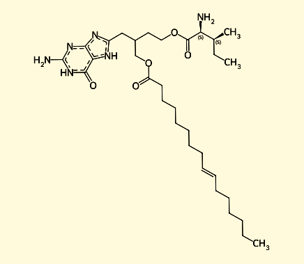 CCCCCCC=CCCCCCCCC(=O)OCC(CCOC(=O)[C@@H](N)[C@@H](C)CC)Cc1nc2nc(N)[nH]c(=O)c2[nH]1